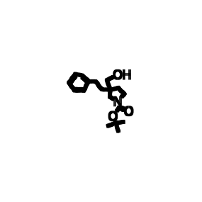 CC(C)(C)OC(=O)N1CCC(CO)(CCc2ccccc2)C1